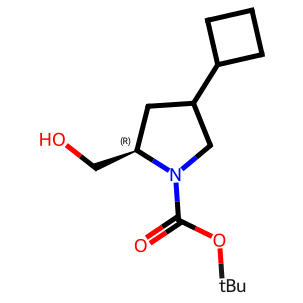 CC(C)(C)OC(=O)N1CC(C2CCC2)C[C@@H]1CO